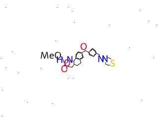 COCCOC(=O)CC1CCc2cc(C(=O)c3ccc(C=NN4CCSCC4)cc3)ccc2C1N